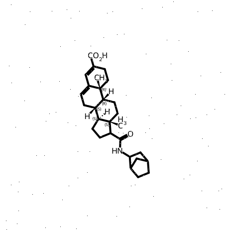 C[C@]12CCC(C(=O)O)=CC1=CC[C@@H]1[C@H]2CC[C@]2(C)C(C(=O)NC3CC4CCC3C4)CC[C@@H]12